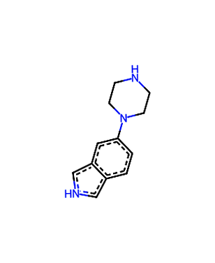 c1cc2c[nH]cc2cc1N1CCNCC1